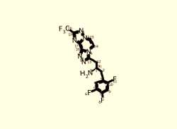 N[C@H](Cc1cc(F)c(F)cc1F)Cc1nnc2c3nc(C(F)(F)F)nn3ccn12